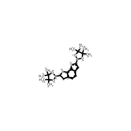 CC1(C)OB(c2cc3ccc4c(c3s2)SC(B2OC(C)(C)C(C)(C)O2)C4)OC1(C)C